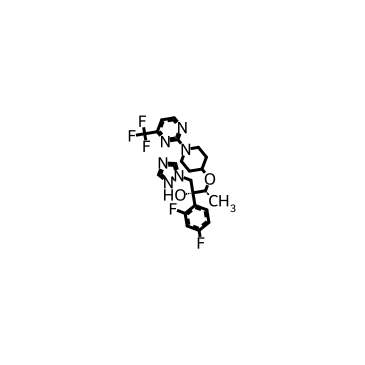 C[C@@H](OC1CCN(c2nccc(C(F)(F)F)n2)CC1)[C@](O)(Cn1cncn1)c1ccc(F)cc1F